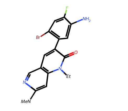 CCn1c(=O)c(-c2cc(N)c(F)cc2Br)cc2cnc(NC)cc21